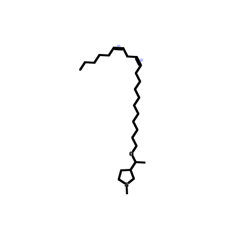 CCCCC/C=C\C/C=C\CCCCCCCCCCOC(C)C1CCN(C)C1